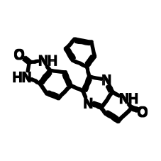 O=c1ccc2nc(-c3ccc4[nH]c(=O)[nH]c4c3)c(-c3ccccc3)nc2[nH]1